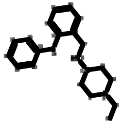 CCN1CCN(NCc2ccccc2Sc2ccccc2)CC1